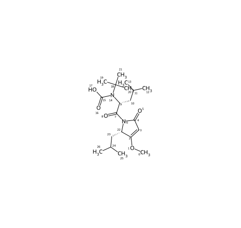 COC1=CC(=O)N(C(=O)[C@@H](CC(C)C)N(C(=O)O)C(C)(C)C)[C@H]1CC(C)C